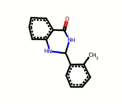 Cc1ccccc1C1NC(=O)c2ccccc2N1